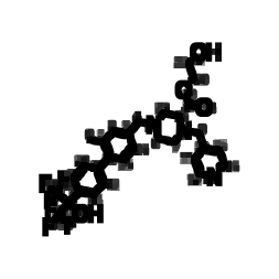 Cc1cc(CN2CCN(Cc3ccncc3)[C@@H](C(=O)OCCO)C2)ccc1-c1ccc(C(O)(C(F)(F)F)C(F)(F)F)cc1